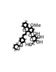 COc1ccc(O[C@@H]2O[C@H](CO)[C@@H](O)[C@H](O)[C@H]2O)c(C(=O)C=Cc2ccc(OC3CCCCO3)cc2)c1-c1ccccc1